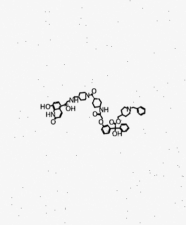 O=C(COc1cccc(C(O)(C(=O)OCC2CCN(Cc3ccccc3)CC2)c2ccccc2)c1)N[C@H]1CC[C@H](C(=O)N2CCC(CNC[C@H](O)c3ccc(O)c4[nH]c(=O)ccc34)CC2)CC1